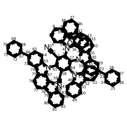 N#Cc1c(-n2c3ccccc3c3ccccc32)c(-n2c3ccc(-c4ccccc4)cc3c3ccc4c5ccccc5oc4c32)c(-n2c3ccccc3c3ccccc32)c(C#N)c1-n1c2ccc(-c3ccccc3)cc2c2ccc3c4ccccc4sc3c21